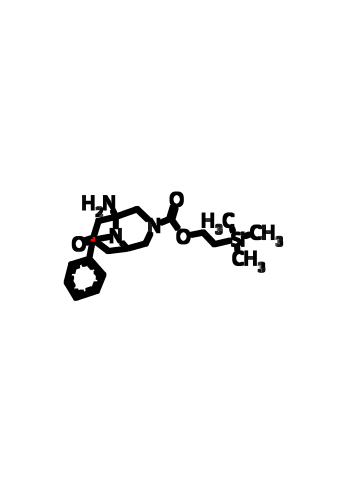 C[Si](C)(C)CCOC(=O)N1CC2CC(=O)CC(N)(C1)N2Cc1ccccc1